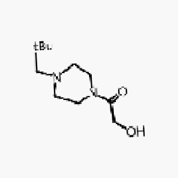 CC(C)(C)CN1CCN(C(=O)CO)CC1